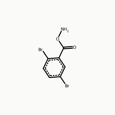 NOC(=O)c1cc(Br)ccc1Br